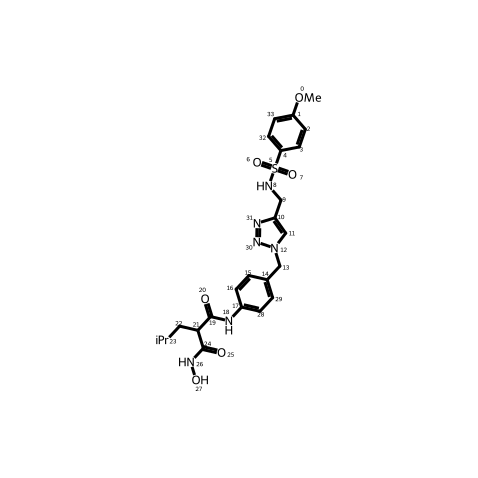 COc1ccc(S(=O)(=O)NCc2cn(Cc3ccc(NC(=O)C(CC(C)C)C(=O)NO)cc3)nn2)cc1